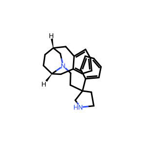 c1ccc(C2(CCN3C[C@@H]4CC[C@H]3Cc3ccccc3C4)CCNC2)cc1